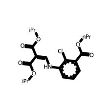 CCCOC(=O)c1cccc(NC=C(C(=O)OC(C)C)C(=O)OC(C)C)c1Cl